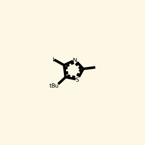 Cc1nc(I)c(C(C)(C)C)s1